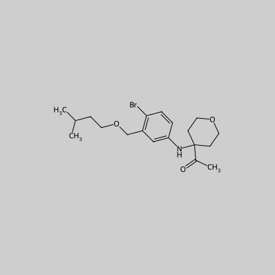 CC(=O)C1(Nc2ccc(Br)c(COCCC(C)C)c2)CCOCC1